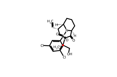 C=C[C@H]1CN([C@@H](C)CO)C(=O)[C@@H]2CCC[C@H]1N2S(=O)(=O)c1cc(Cl)cc(Cl)c1